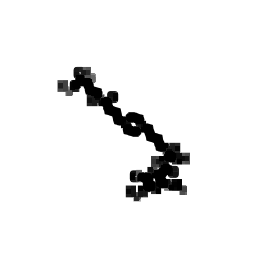 CN(C)CCCNC(=O)CCCN1CCN(CCCCNC(=N)NC(=O)c2nc(Cl)c(N)nc2N)CC1